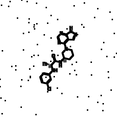 CC[C@@H](Nc1cccc(Cl)c1)C(=O)N[C@@H]1CCCN(c2ncnc3[nH]ncc23)C1